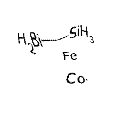 [Co].[Fe].[SiH3][BiH2]